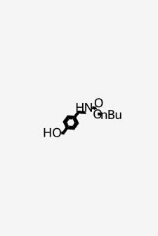 CCCCOC(=O)NCCc1ccc(CO)cc1